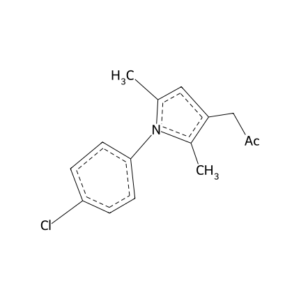 CC(=O)Cc1cc(C)n(-c2ccc(Cl)cc2)c1C